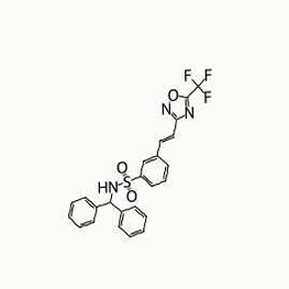 O=S(=O)(NC(c1ccccc1)c1ccccc1)c1cccc(C=Cc2noc(C(F)(F)F)n2)c1